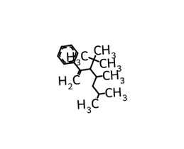 C=C(c1ccccc1)C(C(C)CC(C)C)C(C)(C)C